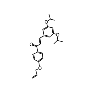 C=CCOc1ccc(C(=O)C=Cc2cc(OC(C)C)cc(OC(C)C)c2)cc1